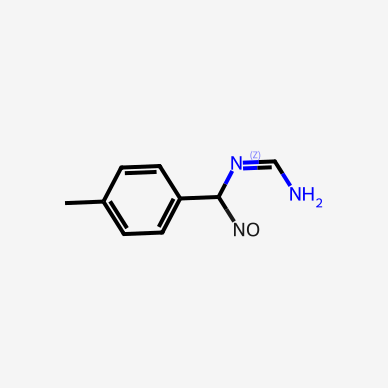 Cc1ccc(C(N=O)/N=C\N)cc1